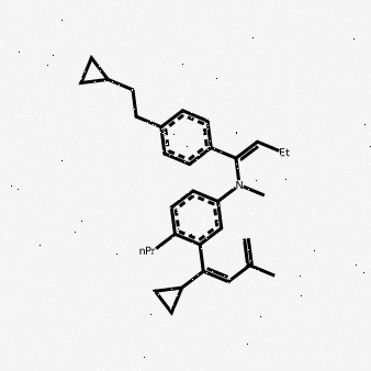 C=C(C)/C=C(\c1cc(N(C)/C(=C\CC)c2ccc(CCC3CC3)cc2)ccc1CCC)C1CC1